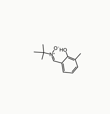 Cc1cccc(C=[N+]([O-])C(C)(C)C)c1O